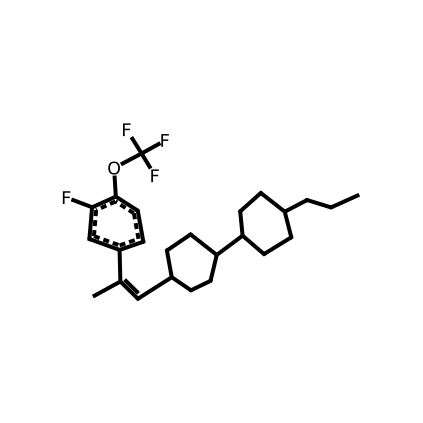 CCCC1CCC(C2CCC(C=C(C)c3ccc(OC(F)(F)F)c(F)c3)CC2)CC1